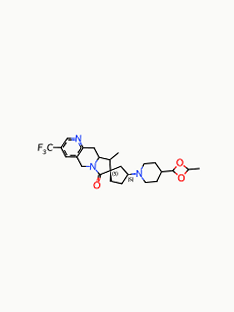 CC1OC(C2CCN([C@H]3CC[C@@]4(C3)C(=O)N3Cc5cc(C(F)(F)F)cnc5CC3C4C)CC2)O1